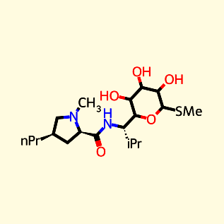 CCC[C@@H]1C[C@H](C(=O)N[C@@H](C(C)C)C2OC(SC)C(O)C(O)C2O)N(C)C1